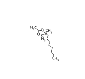 [CH2]C(=O)O[Si](C)(C)CCCCCCCC